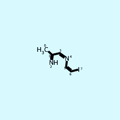 CC(=N)/C=N\C=C/I